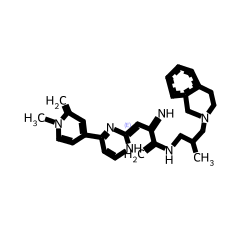 C=C(NCC(C)CN1CCc2ccccc2C1)C(=N)/C=C1/N=C(C2=CC(=C)N(C)C=C2)C=CN1